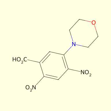 O=C(O)c1cc(N2CCOCC2)c([N+](=O)[O-])cc1[N+](=O)[O-]